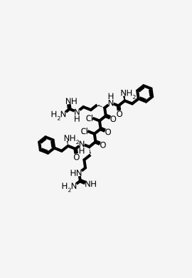 N=C(N)NCCC[C@H](NC(=O)[C@@H](N)Cc1ccccc1)C(=O)C(Cl)C(=O)C(Cl)C(=O)[C@H](CCCNC(=N)N)NC(=O)[C@@H](N)Cc1ccccc1